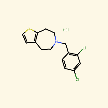 Cl.Clc1ccc(CN2CCc3ccsc3CC2)c(Cl)c1